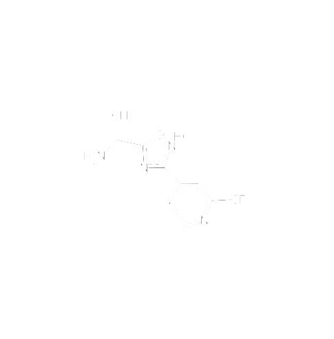 C[C@@H](N)c1nc(-c2ccnc(C(F)(F)F)c2)no1.Cl